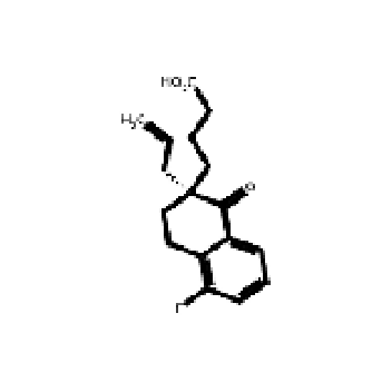 C=CC[C@@]1(CCCC(=O)O)CCc2c(F)cccc2C1=O